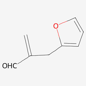 C=C(C=O)Cc1ccco1